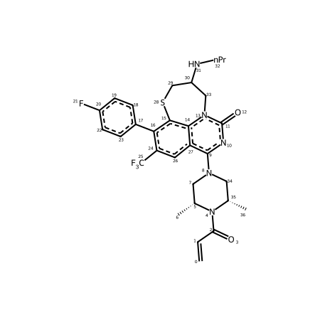 C=CC(=O)N1[C@H](C)CN(c2nc(=O)n3c4c(c(-c5ccc(F)cc5)c(C(F)(F)F)cc24)SCC(NCCC)C3)C[C@@H]1C